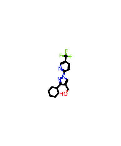 OCc1cn(-c2ccc(C(F)(F)F)cn2)nc1C1CCCCC1